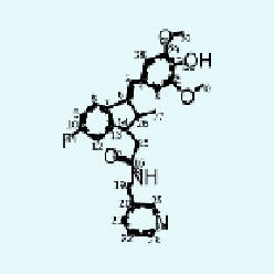 COc1cc(C=C2c3ccc(F)cc3C(CC(=O)NCc3cccnc3)C2C)cc(OC)c1O